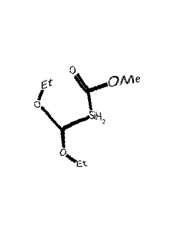 CCOC(OCC)[SiH2]C(=O)OC